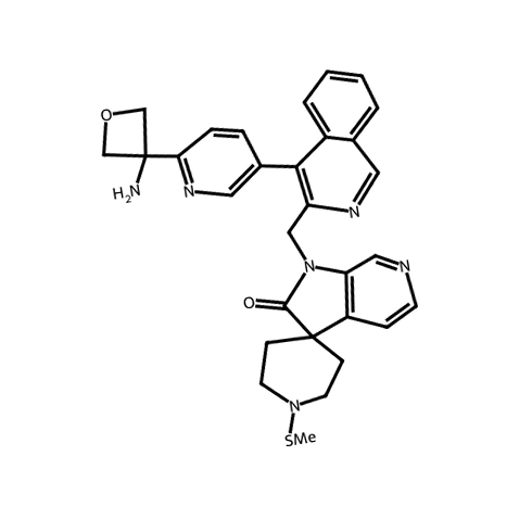 CSN1CCC2(CC1)C(=O)N(Cc1ncc3ccccc3c1-c1ccc(C3(N)COC3)nc1)c1cnccc12